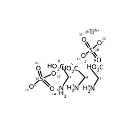 NCC(=O)O.NCC(=O)O.NCC(=O)O.O=S(=O)([O-])[O-].O=S(=O)([O-])[O-].[Ti+4]